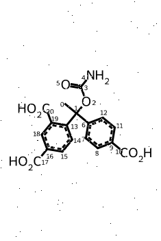 CC(OC(N)=O)(c1ccc(C(=O)O)cc1)c1ccc(C(=O)O)cc1C(=O)O